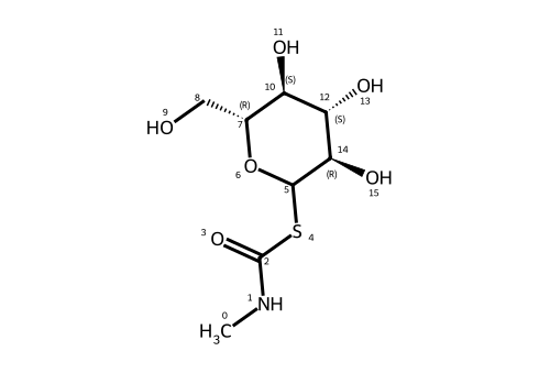 CNC(=O)SC1O[C@H](CO)[C@@H](O)[C@H](O)[C@H]1O